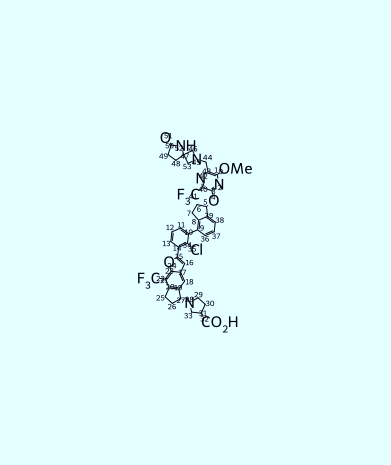 COc1nc(O[C@H]2CCc3c(-c4cccc(-c5cc6cc7c(c(C(F)(F)F)c6o5)CC[C@H]7N5CC[C@@H](C(=O)O)C5)c4Cl)cccc32)c(C(F)(F)F)nc1CN1CC2(CCC(=O)N2)C1